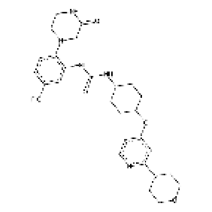 O=C1CN(c2ccc(C(F)(F)F)cc2NC(=O)NC2CCC(Oc3ccnc(N4CCOCC4)n3)CC2)CCN1